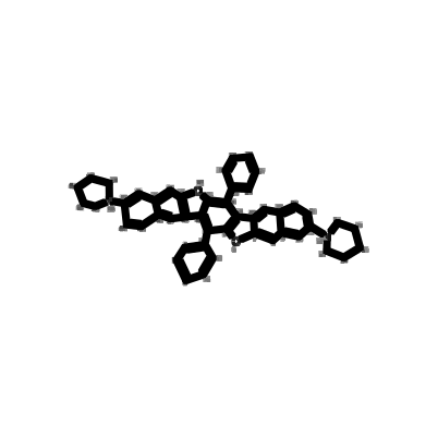 c1ccc(-c2c3oc4cc5cc(N6CCCCC6)ccc5cc4c3c(-c3ccccc3)c3oc4cc5cc(N6CCCCC6)ccc5cc4c23)cc1